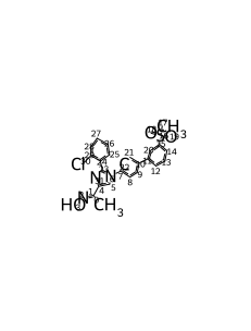 C/C(=N\O)c1cn(-c2ccc(-c3cccc(S(C)(=O)=O)c3)cc2)c(-c2ccccc2Cl)n1